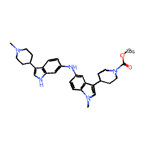 CN1CCC(c2c[nH]c3cc(Nc4ccc5c(c4)c(C4CCN(C(=O)OC(C)(C)C)CC4)cn5C)ccc23)CC1